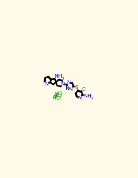 Cl.Cl.Cl.Nc1nccc(Sc2cnc(N3CCC4(CC3)Cc3ncccc3[C@@H]4N)nn2)c1Cl